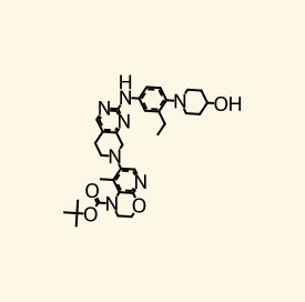 CCc1cc(Nc2ncc3c(n2)CN(c2cnc4c(c2C)N(C(=O)OC(C)(C)C)CCO4)CC3)ccc1N1CCC(O)CC1